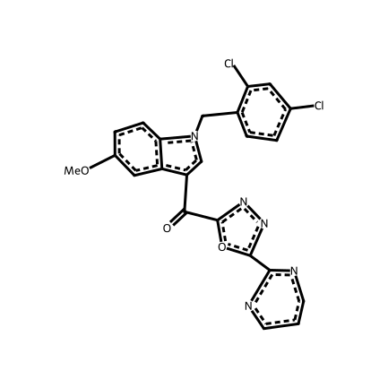 COc1ccc2c(c1)c(C(=O)c1nnc(-c3ncccn3)o1)cn2Cc1ccc(Cl)cc1Cl